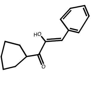 O=C(C(O)=Cc1ccccc1)C1CCCCC1